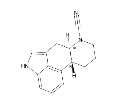 N#CN1CCC[C@@H]2c3cccc4[nH]cc(c34)C[C@H]21